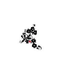 COc1ccc(C(OC[C@H]2O[C@@H](n3cnc4c(-c5cccc(N6CCOCC6)c5)ncnc43)[C@H](O[Si](C)(C)C(C)(C)C)[C@@H]2OP(OCCC#N)N(C(C)C)C(C)C)(c2ccccc2)c2ccc(OC)cc2)cc1